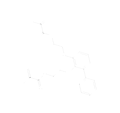 C=C(C)C(=O)OCCOc1cccc(-c2ccccc2)c1OCCOC(=O)C(=C)C